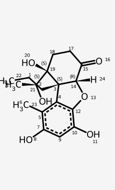 CCC[C@]12c3c(C)c(O)cc(O)c3O[C@H]1C(=O)CC[C@@]2(O)[C@H](C)O